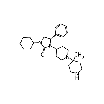 CC1(N2CCC(N3C(=O)N(C4CCCCC4)C[C@H]3c3ccccc3)CC2)CCNCC1